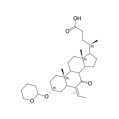 C/C=C1\C(=O)C2C(CC[C@@]3(C)C2CCC3[C@H](C)CCC(=O)O)[C@@]2(C)CC[C@@H](OC3CCCCO3)CC12